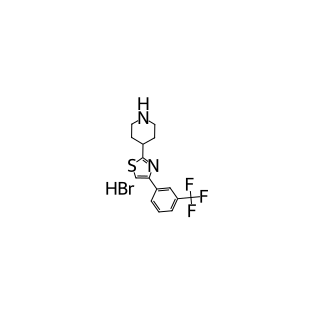 Br.FC(F)(F)c1cccc(-c2csc(C3CCNCC3)n2)c1